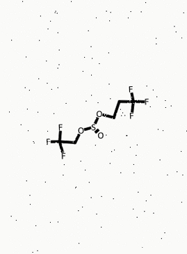 O=S(OCCC(F)(F)F)OCC(F)(F)F